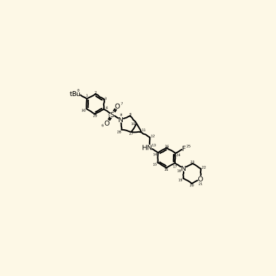 CC(C)(C)c1ccc(S(=O)(=O)N2CC3C(CNc4ccc(N5CCOCC5)c(F)c4)C3C2)cc1